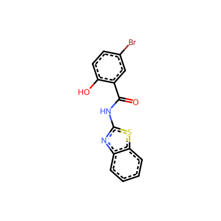 O=C(Nc1nc2ccccc2s1)c1cc(Br)ccc1O